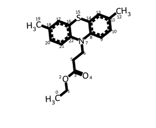 CCOC(=O)CCN1c2ccc(C)cc2Sc2cc(C)ccc21